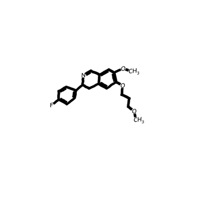 COCCCOc1cc2c(cc1OC)C=NC(c1ccc(F)cc1)C2